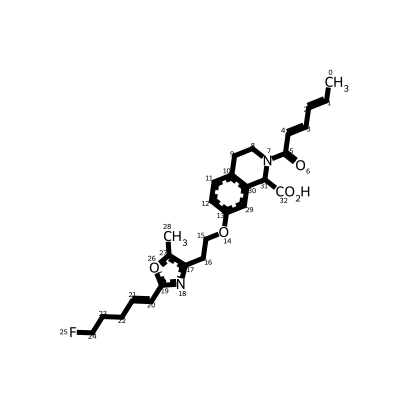 CC=CC=CC(=O)N1CCc2ccc(OCCc3nc(C=CCCCF)oc3C)cc2C1C(=O)O